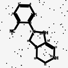 N#Cc1ccccc1N1CC2CCNC=C2N1